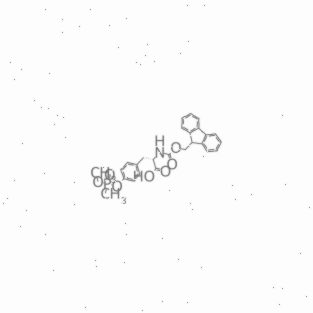 COP(C)(=O)Oc1ccc(C[C@H](NC(=O)OCC2c3ccccc3-c3ccccc32)C(=O)O)cc1